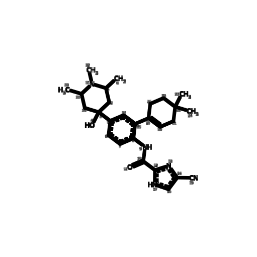 CC1CC(O)(c2ccc(NC(=O)c3nc(C#N)c[nH]3)c(C3=CCC(C)(C)CC3)c2)CC(C)N1C